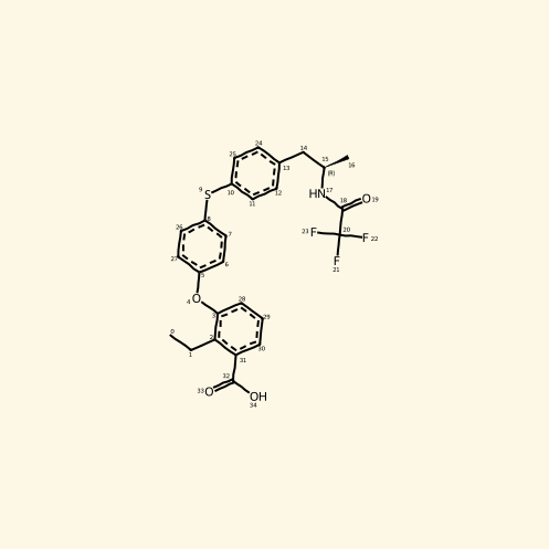 CCc1c(Oc2ccc(Sc3ccc(C[C@@H](C)NC(=O)C(F)(F)F)cc3)cc2)cccc1C(=O)O